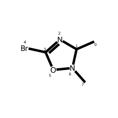 CC1N=C(Br)ON1C